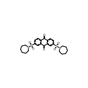 O=C1c2ccc(S(=O)(=O)N3CCCCCC3)cc2C(=O)c2cc(S(=O)(=O)N3CCCCCC3)ccc21